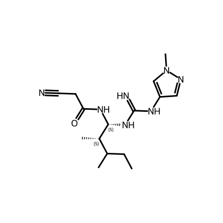 CCC(C)[C@H](C)[C@@H](NC(=N)Nc1cnn(C)c1)NC(=O)CC#N